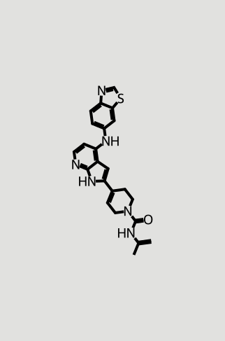 C=C(C)NC(=O)N1CC=C(c2cc3c(Nc4ccc5ncsc5c4)ccnc3[nH]2)CC1